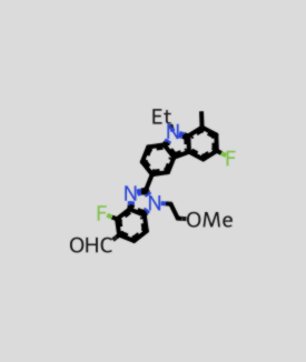 CCn1c2ccc(-c3nc4c(F)c(C=O)ccc4n3CCOC)cc2c2cc(F)cc(C)c21